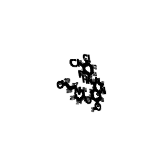 COc1cc2ncnc(Nc3ccc(Cl)c(Cl)c3F)c2cc1O[C@H]1CCN(C=CC=O)C1